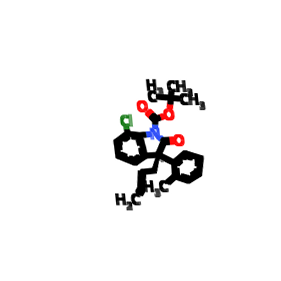 C=C=CC[C@]1(c2ccccc2C)C(=O)N(C(=O)OC(C)(C)C)c2c(Cl)cccc21